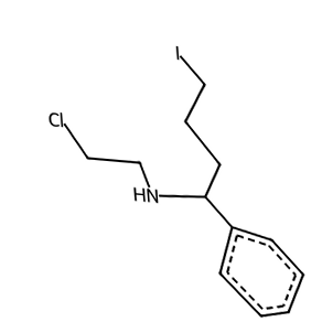 ClCCNC(CCCI)c1ccccc1